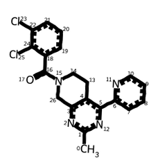 Cc1nc2c(c(-c3ccccn3)n1)CCN(C(=O)c1cccc(Cl)c1Cl)C2